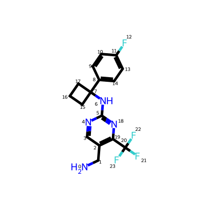 NCc1cnc(NC2(c3ccc(F)cc3)CCC2)nc1C(F)(F)F